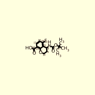 CC(C)(C)OC(=O)NC1CCOc2c(C(=O)O)ccc(F)c21